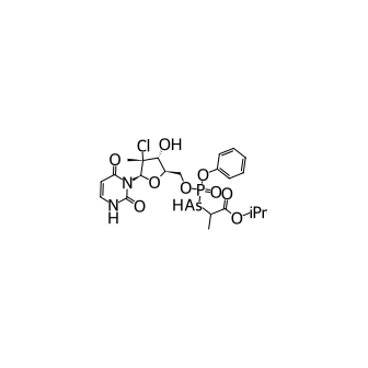 CC(C)OC(=O)C(C)[AsH]P(=O)(OC[C@H]1O[C@@H](n2c(=O)cc[nH]c2=O)[C@](C)(Cl)[C@@H]1O)Oc1ccccc1